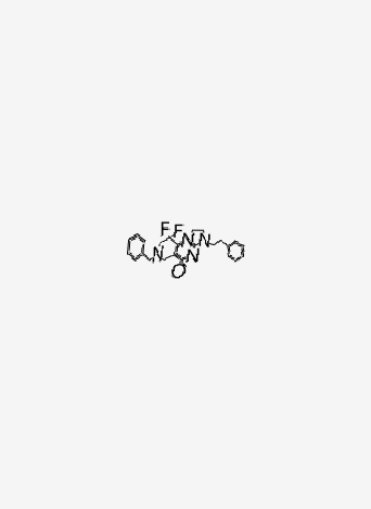 O=c1nc2n(c3c1CN(Cc1ccccc1)CC3(F)F)CCN2CCc1ccccc1